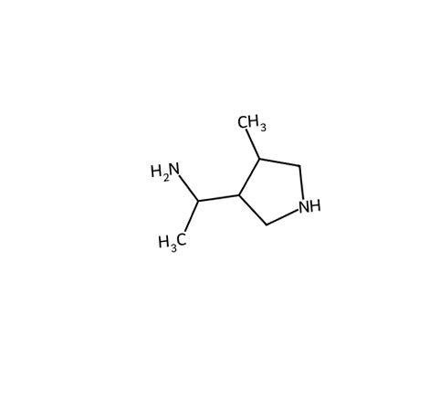 CC(N)C1CNCC1C